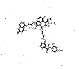 Cc1nn(C)c(C)c1-c1c(Cl)ccc2c(CCCOc3cccc4cc(F)ccc34)c(C(=O)O)n(CCCOCCOc3cccc4c3CN(C3CCC(O)NC3=O)C4=O)c12